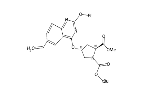 C=Cc1ccc2nc(OCC)nc(O[C@@H]3C[C@@H](C(=O)OC)N(C(=O)OC(C)(C)C)C3)c2c1